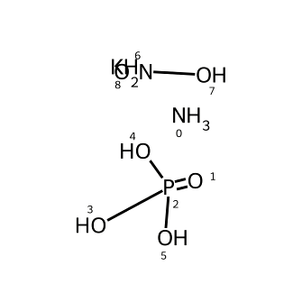 N.O=P(O)(O)O.O=[N+]([O-])O.[KH]